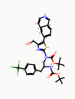 CC(C)(C)OC(=O)NC(Cc1ccc(C(F)(F)F)cc1)CN(C(=O)OC(C)(C)C)c1nc(CO)c(-c2ccc3cnccc3c2)s1